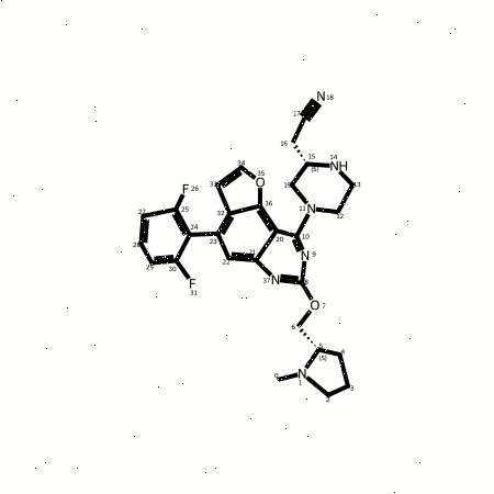 CN1CCC[C@H]1COc1nc(N2CCN[C@@H](CC#N)C2)c2c(cc(-c3c(F)cccc3F)c3ccoc32)n1